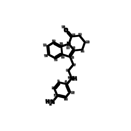 Nc1ccc(NCCc2c3n(c4ccccc24)C(=O)CCC3)cc1